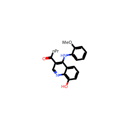 CCCC(=O)c1cnc2c(O)cccc2c1Nc1ccccc1OC